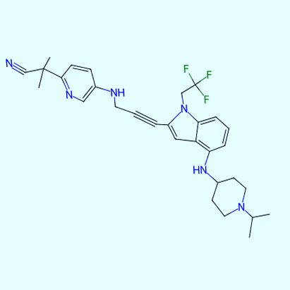 CC(C)N1CCC(Nc2cccc3c2cc(C#CCNc2ccc(C(C)(C)C#N)nc2)n3CC(F)(F)F)CC1